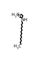 CCCCCCCCCCCCCCCN[C@@H]1CCN(C)C1